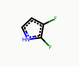 Fc1cc[nH]c1F